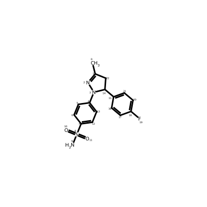 CC1=NN(c2ccc(S(N)(=O)=O)cc2)C(c2ccc(F)cc2)C1